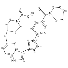 CC(C)(C)OC(=O)N1CCC(CC2=CC=C3NN=C(c4cn(-c5ccc(C(=O)N6CCOCC6)cc5)nn4)C3C2)CC1